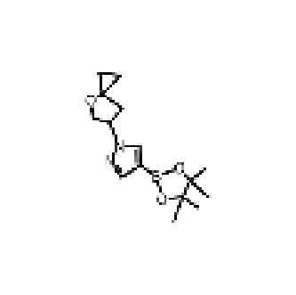 CC1(C)OB(c2cnn(C3COC4(CC4)C3)c2)OC1(C)C